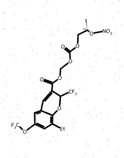 CCc1cc(OC(F)(F)F)cc2c1OC(C(F)(F)F)C(C(=O)OCOC(=O)OC[C@H](C)O[N+](=O)[O-])=C2